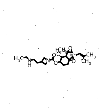 CCNCCC1CN(C(=O)OC2CCC3(CO3)C([C@@]3(C)O[C@@H]3CC=C(C)C)C2OC)C1